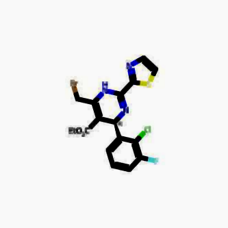 CCOC(=O)C1=C(CBr)NC(c2nccs2)=N[C@H]1c1cccc(F)c1Cl